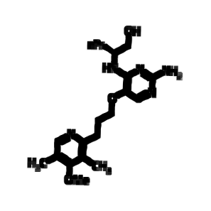 CCC[C@@H](CO)Nc1nc(N)ncc1OCCCc1ncc(C)c(OC)c1C